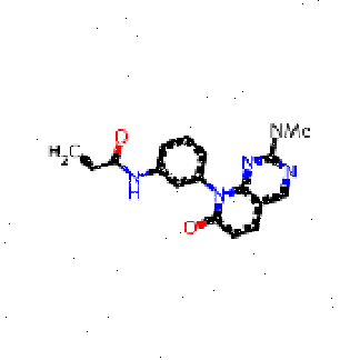 C=CC(=O)Nc1cccc(-n2c(=O)ccc3cnc(NC)nc32)c1